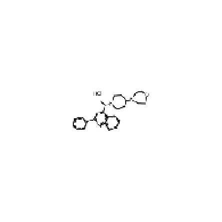 CC(c1cc(-c2ccccc2)nc2ccccc12)N1CCC(N2CCOCC2)CC1.Cl